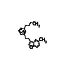 CCCCC1CC2C=CC1N(CCc1coc3ccc(C)cc13)C2